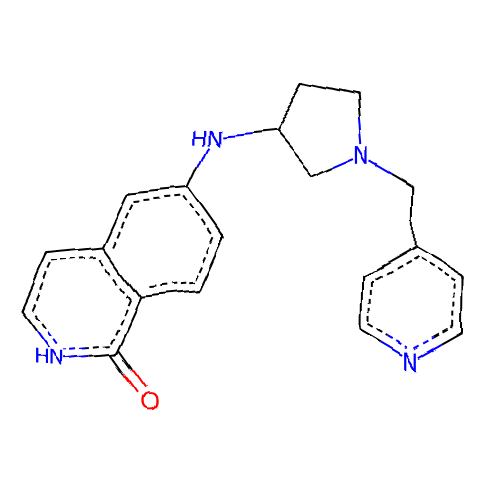 O=c1[nH]ccc2cc(NC3CCN(Cc4ccncc4)C3)ccc12